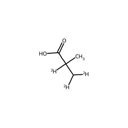 [2H]C([2H])C([2H])(C)C(=O)O